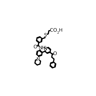 O=C(O)CCSCc1cccc(C(=O)Nc2ccc(N3CCCCC3)cc2-c2cc(C(=O)CCc3ccccc3)ccn2)c1